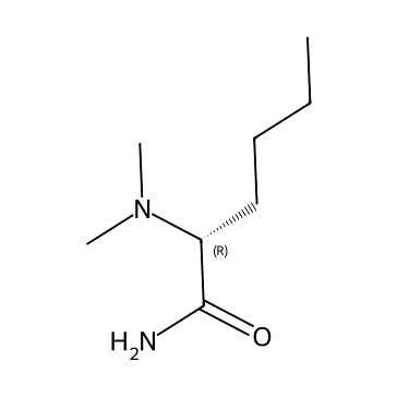 CCCC[C@H](C(N)=O)N(C)C